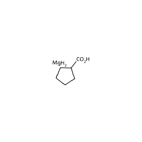 O=C(O)C1CCCC1.[MgH2]